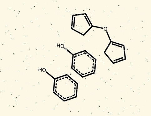 C1=CCC(OC2=CC=CC2)=C1.Oc1ccccc1.Oc1ccccc1